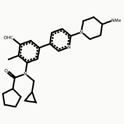 CNC1CCN(c2ccc(-c3cc(C=O)c(C)c(N(CC4CC4)C(=O)C4CCCC4)c3)cn2)CC1